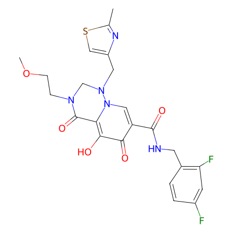 COCCN1CN(Cc2csc(C)n2)n2cc(C(=O)NCc3ccc(F)cc3F)c(=O)c(O)c2C1=O